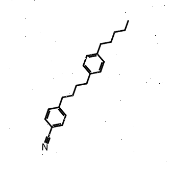 CCCCCc1ccc(CCCCc2ccc(C#N)cc2)cc1